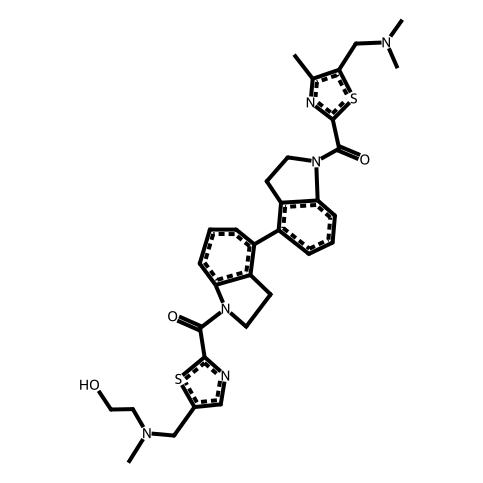 Cc1nc(C(=O)N2CCc3c(-c4cccc5c4CCN5C(=O)c4ncc(CN(C)CCO)s4)cccc32)sc1CN(C)C